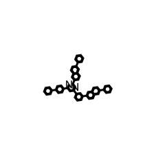 c1ccc(-c2ccc(-c3cc(-c4cccc(-c5ccc6cc(-c7ccccc7)ccc6c5)c4)nc(-c4ccc5cc(-c6ccccc6)ccc5c4)n3)cc2)cc1